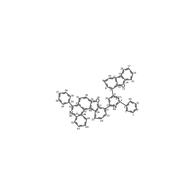 c1ccc(-c2nc(-c3cccc4c3oc3ccccc34)cc(-c3cccc4c3oc3ccc5c(-c6ccccc6)nc6ccccc6c5c34)n2)cc1